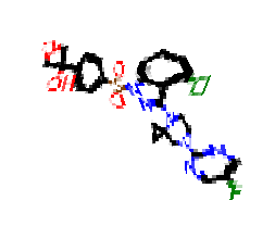 O=S(=O)(c1ccc(C2(O)COC2)cc1)n1nc(N2CCN(c3ncc(F)cn3)CC23CC3)c2c(Cl)cccc21